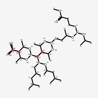 COC(=O)CCSP(OC(C)C)OC(C)CSP(OC(C)CSP(CC(C)CC(C)C)OC(C)CC(C)C)OC(C)CSP(OC(C)CC(C)C)OC(C)CC(C)C